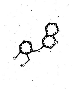 OCc1c(Cl)cccc1Oc1cnc2ccccc2c1